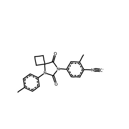 [C-]#[N+]c1ccc(N2C(=O)N(c3ccc(C)cc3)C3(CCC3)C2=O)cc1C